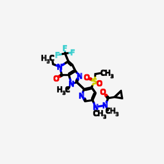 CCn1c(C(F)(F)F)cc2nc(-c3ncc(N(C)N(C)C(=O)C4CC4)cc3S(=O)(=O)CC)n(C)c2c1=O